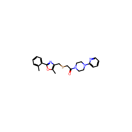 Cc1ccccc1-c1nc(CSCC(=O)N2CCN(c3ccccn3)CC2)c(C)o1